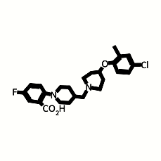 Cc1cc(Cl)ccc1OC1CCN(CC2CCN(c3ccc(F)cc3C(=O)O)CC2)CC1